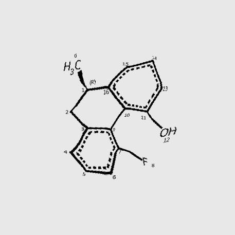 C[C@@H]1Cc2cccc(F)c2-c2c(O)cccc21